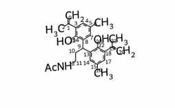 C=C(C)c1cc(C)cc(C(CCNC(C)=O)c2cc(C)cc(C(=C)C)c2O)c1O